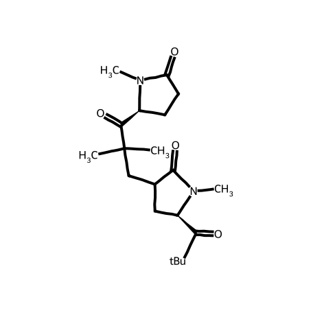 CN1C(=O)C(CC(C)(C)C(=O)[C@@H]2CCC(=O)N2C)C[C@@H]1C(=O)C(C)(C)C